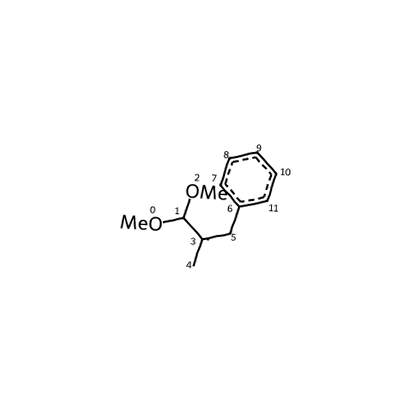 COC(OC)[C](C)Cc1ccccc1